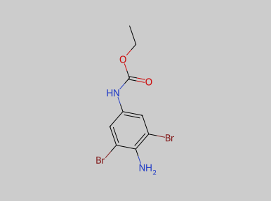 CCOC(=O)Nc1cc(Br)c(N)c(Br)c1